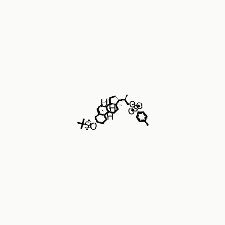 Cc1ccc(S(=O)(=O)OC[C@H](C)[C@H]2CC[C@H]3[C@@H]4CC=C5C[C@@H](O[Si](C)(C)C(C)(C)C)CC[C@]5(C)[C@H]4CC[C@]23C)cc1